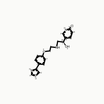 O[C@@H](CNCCOc1ccc(-c2cscn2)cc1)c1ccc(Cl)nc1